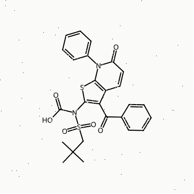 CC(C)(C)CS(=O)(=O)N(C(=O)O)c1sc2c(ccc(=O)n2-c2ccccc2)c1C(=O)c1ccccc1